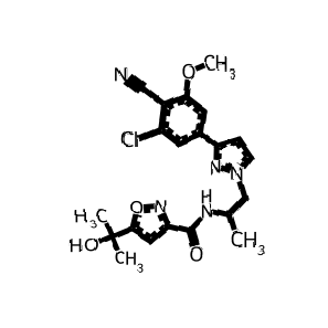 COc1cc(-c2ccn(CC(C)NC(=O)c3cc(C(C)(C)O)on3)n2)cc(Cl)c1C#N